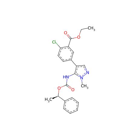 CCOC(=O)c1cc(-c2cnn(C)c2NC(=O)O[C@H](C)c2ccccc2)ccc1Cl